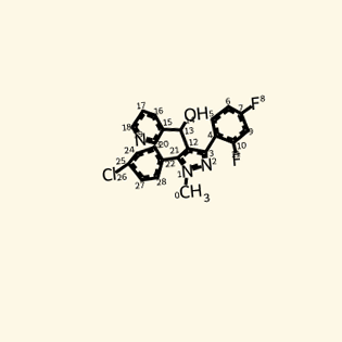 Cn1nc(-c2ccc(F)cc2F)c(C(O)c2cccnc2)c1-c1ccc(Cl)cc1